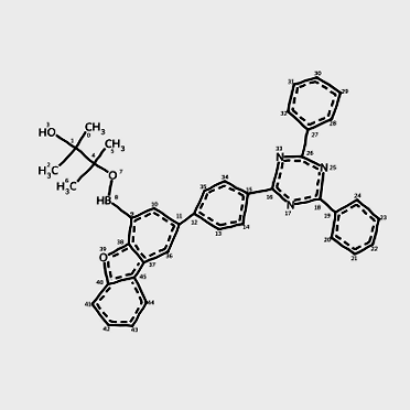 CC(C)(O)C(C)(C)OBc1cc(-c2ccc(-c3nc(-c4ccccc4)nc(-c4ccccc4)n3)cc2)cc2c1oc1ccccc12